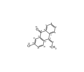 CC=C1c2ccccc2C(=O)c2cc(Cl)ccc21